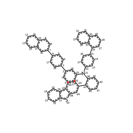 c1cc(-c2ccc(-c3ccc4ccccc4c3)cc2)cc(N(c2ccc(-c3cccc4ccccc34)cc2)c2ccccc2-c2ccc3c(c2)sc2ccccc23)c1